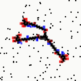 CNC(CCCOC(=O)NCCCCCCNC(=O)CCCOC1OC(CO)C(O)C(O)C1N)(CCCOC(=O)NCCCCCCNC(=O)CCCOC1OC(CO)C(O)C(O)C1N)CCCOC(=O)NCCCCCCNC(=O)CCCOC1OC(CO)C(O)C(O)C1N